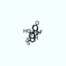 CSC1(SC)CC[C@H]2[C@@H]3C[C@H](F)C4=CC(=O)C=C[C@]4(C)[C@@]3(F)[C@@H](O)C[C@@]21C